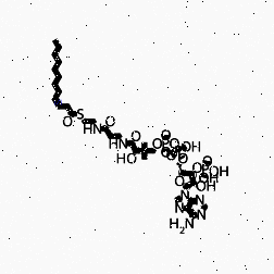 CCCCCCCC/C=C\CC(=O)SCCNC(=O)CCNC(=O)[C@H](O)C(C)(C)COP(=O)(O)OP(=O)(O)OC[C@H]1O[C@@H](n2cnc3c(N)ncnc32)[C@H](O)[C@@H]1OP(=O)(O)O